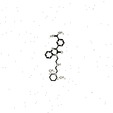 C[C@@H]1CCC[C@H](C)N1CCNCCn1c(=O)c(-c2cccc(C(=N)N)c2)nc2ccccc21